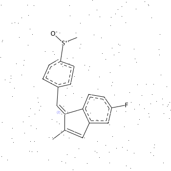 CC1=[C]c2cc(F)ccc2/C1=C\c1ccc([S+](C)[O-])cc1